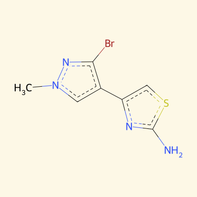 Cn1cc(-c2csc(N)n2)c(Br)n1